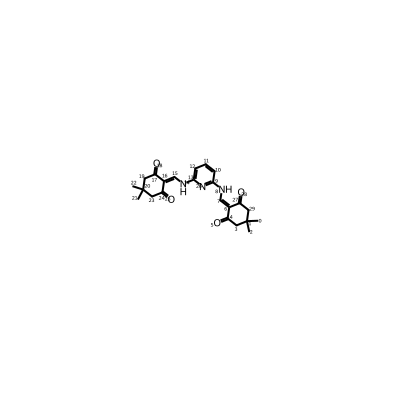 CC1(C)CC(=O)C(=CNc2cccc(NC=C3C(=O)CC(C)(C)CC3=O)n2)C(=O)C1